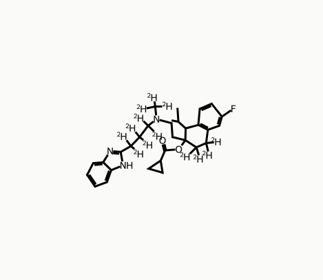 [2H]C([2H])([2H])N(CCC1(OC(=O)C2CC2)C(C(C)C)c2ccc(F)cc2C([2H])([2H])C1([2H])[2H])C([2H])([2H])C([2H])([2H])C([2H])([2H])c1nc2ccccc2[nH]1